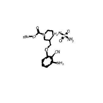 CC(C)(C)OC(=O)N1CCCC(COc2cccc(N)c2C#N)C1.NS(N)(=O)=O